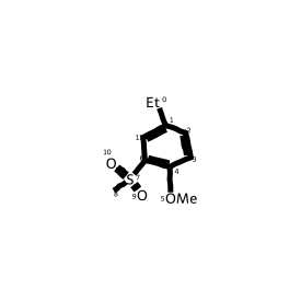 CCc1ccc(OC)c(S(C)(=O)=O)c1